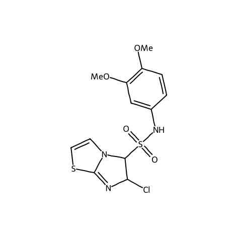 COc1ccc(NS(=O)(=O)C2C(Cl)N=C3SC=CN32)cc1OC